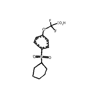 O=C(O)C(F)(F)Oc1ccc(S(=O)(=O)C2CCCCC2)cc1